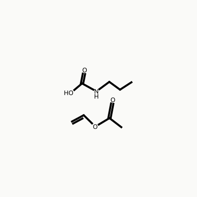 C=COC(C)=O.CCCNC(=O)O